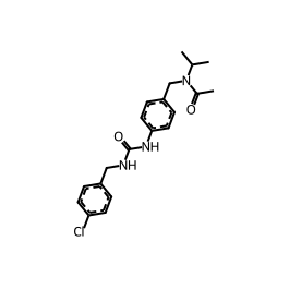 CC(=O)N(Cc1ccc(NC(=O)NCc2ccc(Cl)cc2)cc1)C(C)C